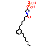 CCCCCCCc1cccc(CCCCCC(=O)N2CC(OP(=O)(O)O)C2)c1